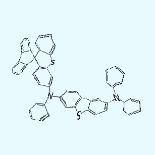 c1ccc(N(c2ccc3c(c2)Sc2ccccc2C32c3ccccc3-c3ccccc32)c2ccc3c(c2)sc2ccc(N(c4ccccc4)c4ccccc4)cc23)cc1